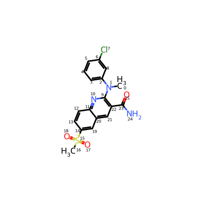 CN(c1cccc(Cl)c1)c1nc2ccc(S(C)(=O)=O)cc2cc1C(N)=O